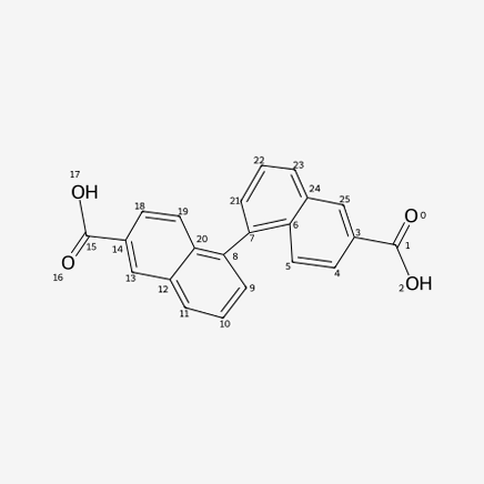 O=C(O)c1ccc2c(-c3cccc4cc(C(=O)O)ccc34)cccc2c1